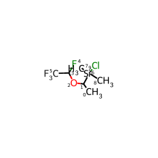 CC(OC(F)C(F)(F)F)[Si](C)(C)Cl